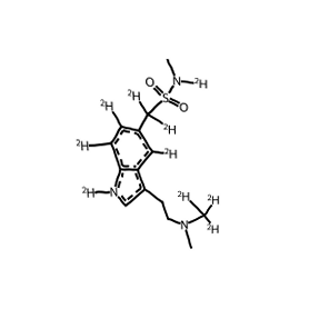 [2H]c1c(C([2H])([2H])S(=O)(=O)N([2H])C)c([2H])c2c(CCN(C)C([2H])([2H])[2H])cn([2H])c2c1[2H]